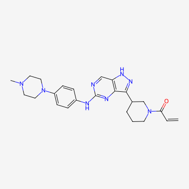 C=CC(=O)N1CCCC(c2n[nH]c3cnc(Nc4ccc(N5CCN(C)CC5)cc4)nc23)C1